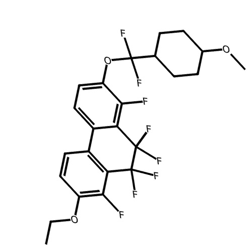 CCOc1ccc2c(c1F)C(F)(F)C(F)(F)c1c-2ccc(OC(F)(F)C2CCC(OC)CC2)c1F